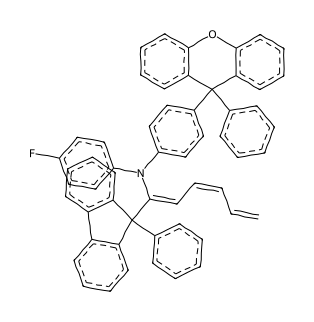 C=C/C=C\C=C(/N(c1ccc(F)cc1)c1ccc(C2(c3ccccc3)c3ccccc3Oc3ccccc32)cc1)C1(c2ccccc2)c2ccccc2-c2ccccc21